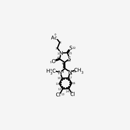 CC(=O)CCN1C(=O)C(=C2N(C)c3cc(Cl)c(Cl)cc3N2C)SC1=S